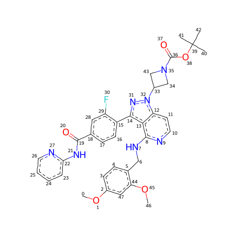 COc1ccc(CNc2nccc3c2c(-c2ccc(C(=O)Nc4ccccn4)cc2F)nn3C2CN(C(=O)OC(C)(C)C)C2)c(OC)c1